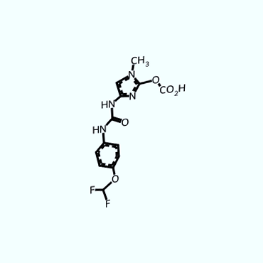 Cn1cc(NC(=O)Nc2ccc(OC(F)F)cc2)nc1OC(=O)O